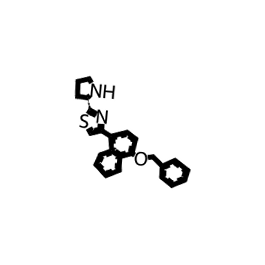 c1ccc(COc2ccc(-c3csc([C@@H]4CCCN4)n3)c3ccccc23)cc1